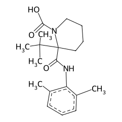 Cc1cccc(C)c1NC(=O)C1(C(C)(C)C)CCCCN1C(=O)O